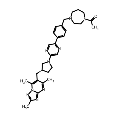 CC(=O)N1CCCN(Cc2ccc(-c3cnc(N4CC[C@@H](Cc5c(C)nc6nc(C)nn6c5C)C4)cn3)cc2)CC1